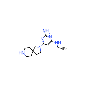 CC(C)CNc1cc(N2CCC3(CCNCC3)C2)nc(N)n1